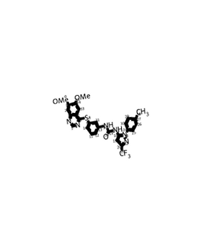 COc1cc2ncnc(Sc3cccc(NC(=O)Nc4cc(C(F)(F)F)nn4-c4ccc(C)cc4)c3)c2cc1OC